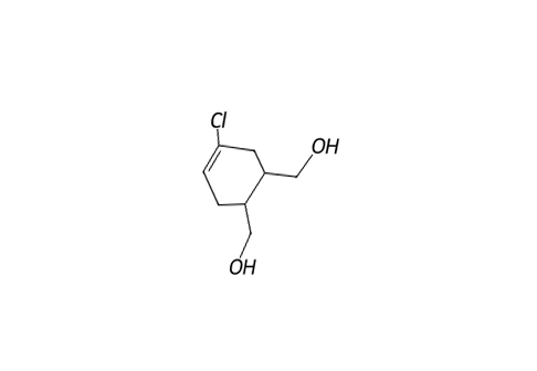 OCC1CC=C(Cl)CC1CO